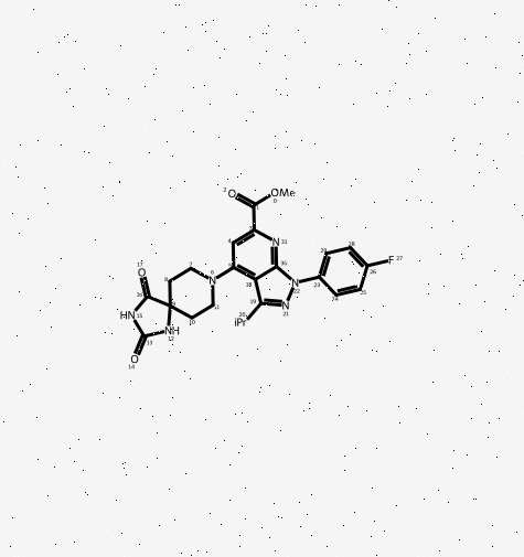 COC(=O)c1cc(N2CCC3(CC2)NC(=O)NC3=O)c2c(C(C)C)nn(-c3ccc(F)cc3)c2n1